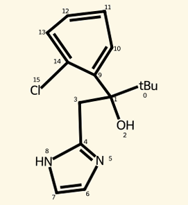 CC(C)(C)C(O)(Cc1ncc[nH]1)c1ccccc1Cl